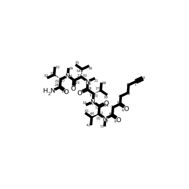 C#CCCCC(=O)CC(=O)N(C)[C@H](C(=O)N(C)[C@H](C(=O)N(C)[C@H](C(=O)N(C)[C@H](C(N)=O)C(C)C)C(C)C)C(C)C)C(C)C